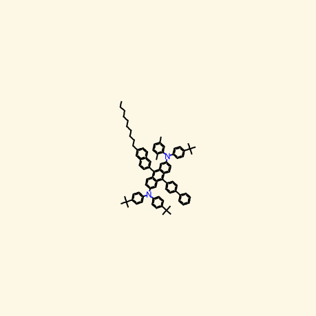 CCCCCCCCCCc1ccc2cc(-c3c4ccc(N(c5ccc(C(C)(C)C)cc5)c5ccc(C(C)(C)C)cc5)cc4c(-c4ccc(-c5ccccc5)cc4)c4ccc(N(c5ccc(C(C)(C)C)cc5)c5cc(C)ccc5C)cc34)ccc2c1